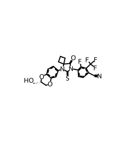 N#Cc1ccc(N2C(=O)C3(CCC3)N(c3ccc4c(c3)OC[C@H](CO)O4)C2=S)c(F)c1C(F)(F)F